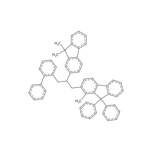 Cc1c(CC(Cc2ccccc2-c2ccccc2)c2ccc3c(c2)C(C)(C)c2ccccc2-3)ccc2c1C(c1ccccc1)(c1ccccc1)c1ccccc1-2